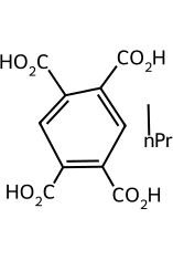 CCCC.O=C(O)c1cc(C(=O)O)c(C(=O)O)cc1C(=O)O